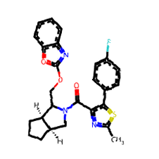 Cc1nc(C(=O)N2C[C@H]3CCC[C@H]3C2COc2nc3ccccc3o2)c(-c2ccc(F)cc2)s1